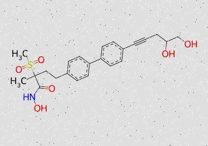 CC(CCc1ccc(-c2ccc(C#CCC(O)CO)cc2)cc1)(C(=O)NO)S(C)(=O)=O